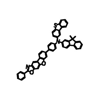 CC1(C)c2ccccc2-c2ccc(N(c3ccc(-c4ccc5c(c4)oc4cc6oc(-c7ccccc7)nc6cc45)cc3)c3ccc4sc5ccccc5c4c3)cc21